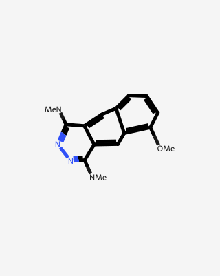 CNc1nnc(NC)c2cc3c(OC)cccc3cc12